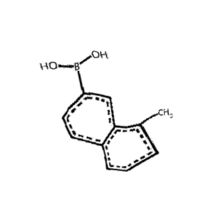 Cc1cccc2ccc(B(O)O)cc12